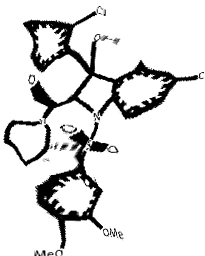 COc1ccc(S(=O)(=O)N2c3ccc(Cl)cc3C(O)(c3ccccc3Cl)C2C(=O)N2CCC[C@H]2CO)cc1OC